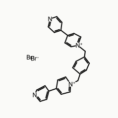 [Br-].[Br-].c1cc(-c2cc[n+](Cc3ccc(C[n+]4ccc(-c5ccncc5)cc4)cc3)cc2)ccn1